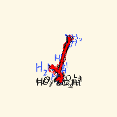 C[C@@H](CCCCNC(=O)[C@H](CCCCNC(=O)CC[C@@H](C(=O)O)N(CCN(CC(=O)O)CC(=O)O)CCN(CC(=O)O)CC(=O)O)NC(=O)CCCC(=O)NCCOCCOCC(=O)NCCOCCOCC(=O)NCCCCCC(N)=O)C(N)=O